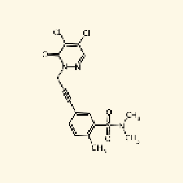 Cc1ccc(C#CCn2ncc(Cl)c(Cl)c2=O)cc1S(=O)(=O)N(C)C